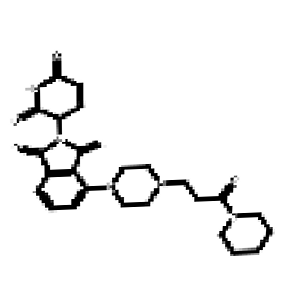 O=C1CCC(N2C(=O)c3cccc(N4CCN(CCC(=O)N5CCCCC5)CC4)c3C2=O)C(=O)N1